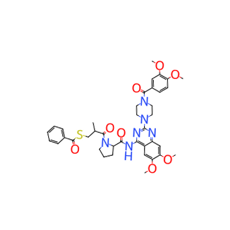 COc1ccc(C(=O)N2CCN(c3nc(NC(=O)C4CCCN4C(=O)C(C)CSC(=O)c4ccccc4)c4cc(OC)c(OC)cc4n3)CC2)cc1OC